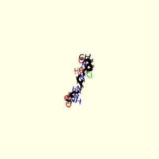 COc1ccc2ccc(Cl)c(C(O)CN3CCCC(CNCc4ccc5c(n4)NC(=O)CO5)C3)c2n1